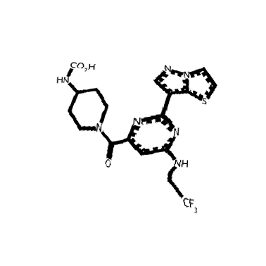 O=C(O)NC1CCN(C(=O)c2cc(NCC(F)(F)F)nc(-c3cnn4ccsc34)n2)CC1